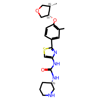 Cc1cc(-c2nc(NC(=O)N[C@H]3CCCNC3)cs2)ccc1O[C@@H]1COC[C@@H]1C